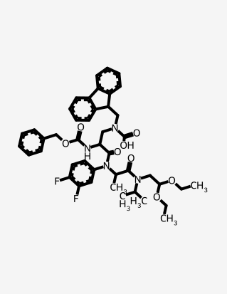 CCOC(CN(C(=O)C(C)N(C(=O)C(CN(CC1c2ccccc2-c2ccccc21)C(=O)O)NC(=O)OCc1ccccc1)c1ccc(F)c(F)c1)C(C)C)OCC